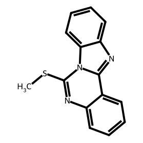 CSc1nc2ccccc2c2nc3ccccc3n12